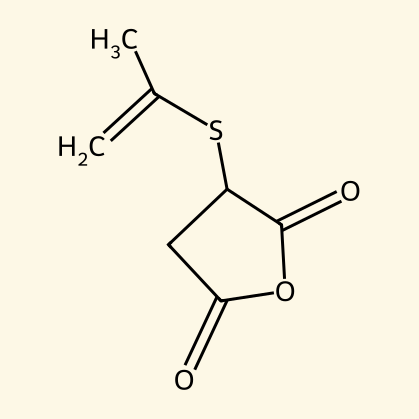 C=C(C)SC1CC(=O)OC1=O